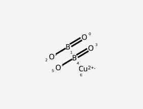 O=B[O-].O=B[O-].[Cu+2]